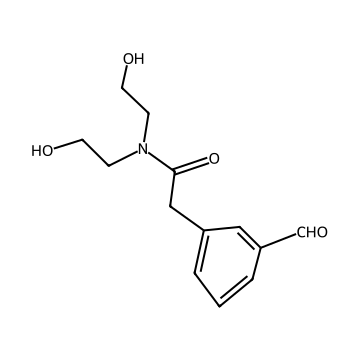 O=Cc1cccc(CC(=O)N(CCO)CCO)c1